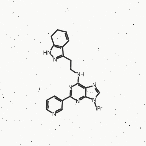 CC(C)n1cnc2c(NCCc3n[nH]c4c3C=CCC4)nc(-c3cccnc3)nc21